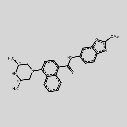 COc1nc2ccc(NC(=O)c3ccc(N4C[C@H](C)N[C@@H](C)C4)c4nccnc34)cc2o1